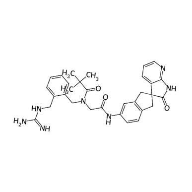 CC(C)(C)C(=O)N(CC(=O)Nc1ccc2c(c1)CC1(C2)C(=O)Nc2ncccc21)Cc1ccccc1CNC(=N)N